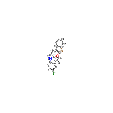 CN1c2ccc(Cl)cc2C(C)(C)C12C=Cc1c(sc3ccccc13)O2